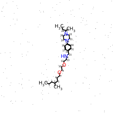 CCCC(C)CCCOCCOCCNCc1ccc(N2CCN(C(C)CC)CC2)cc1